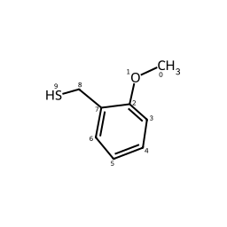 COc1ccccc1CS